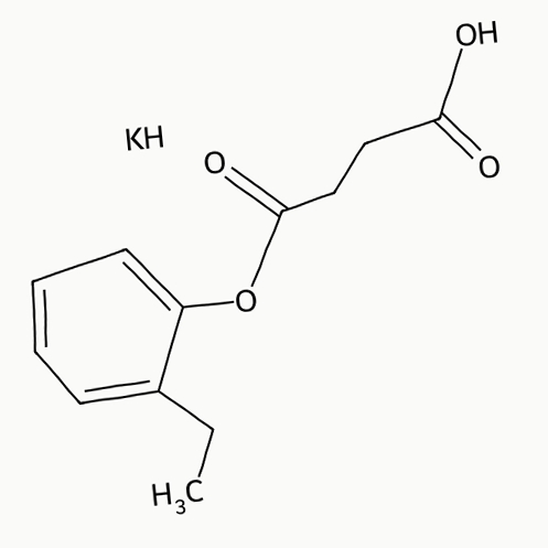 CCc1ccccc1OC(=O)CCC(=O)O.[KH]